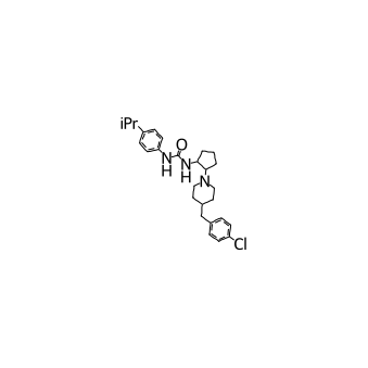 CC(C)c1ccc(NC(=O)NC2CCCC2N2CCC(Cc3ccc(Cl)cc3)CC2)cc1